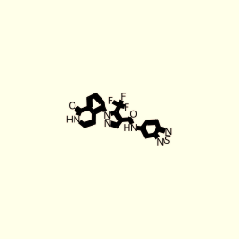 O=C(Nc1ccc2nsnc2c1)c1cnn(-c2cccc3c(=O)[nH]ccc23)c1C(F)(F)F